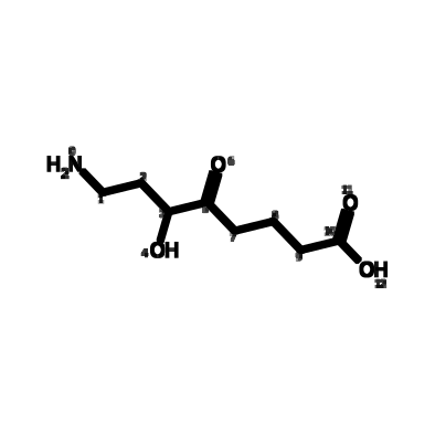 NCCC(O)C(=O)CCCC(=O)O